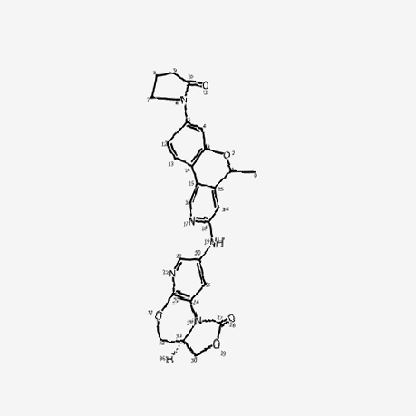 CC1Oc2cc(N3CCCC3=O)ccc2-c2cnc(Nc3cnc4c(c3)N3C(=O)OC[C@H]3CO4)cc21